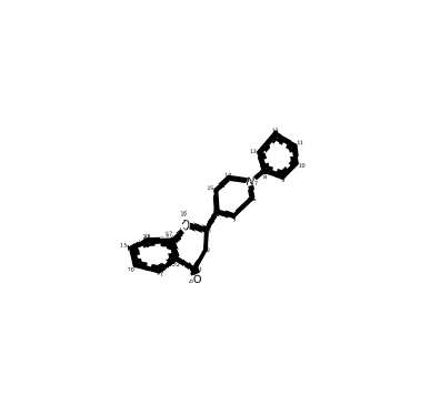 O=C1CC(C2CCN(c3ccccc3)CC2)Oc2ccccc21